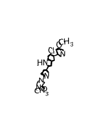 COc1cncc(-c2cc3cc(-c4ccc(N5CCN(C)C(=O)C5)nc4)[nH]c3cc2Cl)c1